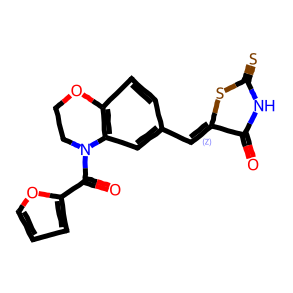 O=C1NC(=S)S/C1=C\c1ccc2c(c1)N(C(=O)c1ccco1)CCO2